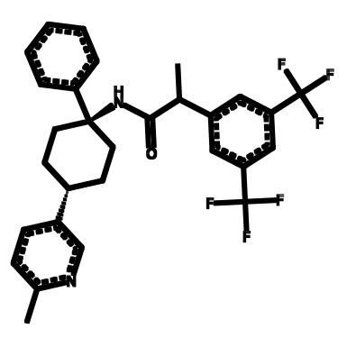 Cc1ccc([C@H]2CC[C@@](NC(=O)C(C)c3cc(C(F)(F)F)cc(C(F)(F)F)c3)(c3ccccc3)CC2)cn1